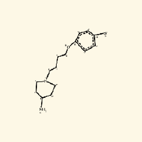 NC1CCN(CCCCOc2ccc(Br)cc2)CC1